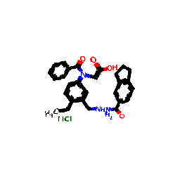 CCc1ccc(N(CC(=O)O)C(=O)c2ccccc2)cc1CN.Cl.NC(=O)c1ccc2c(c1)CCC2